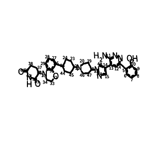 Nc1nnc(-c2ccccc2O)cc1-c1cnn(C2CCN(C3CCC(c4cccc5c4OCCN5[C@H]4CCC(=O)NC4=O)CC3)CC2)c1